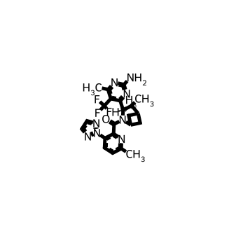 Cc1ccc(-n2nccn2)c(C(=O)N2C3CC(C3)[C@H](C)[C@@H]2c2nc(N)nc(C)c2C(F)(F)F)n1